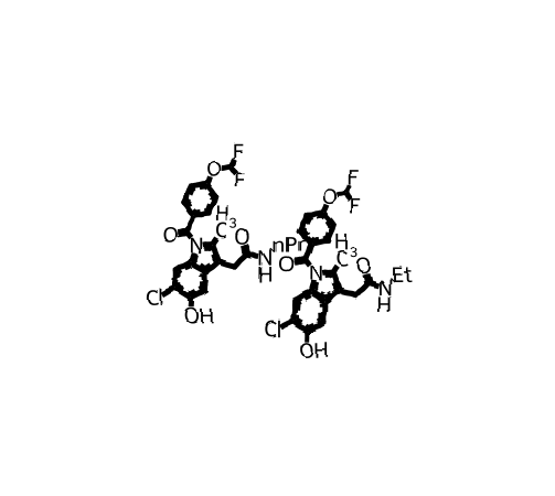 CCCNC(=O)Cc1c(C)n(C(=O)c2ccc(OC(F)F)cc2)c2cc(Cl)c(O)cc12.CCNC(=O)Cc1c(C)n(C(=O)c2ccc(OC(F)F)cc2)c2cc(Cl)c(O)cc12